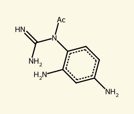 CC(=O)N(C(=N)N)c1ccc(N)cc1N